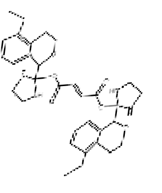 CCc1cccc2c1CCOC2C1(OC(=O)/C=C/C(=O)OC2(C3OCCc4c(CC)cccc43)NCCN2)NCCN1